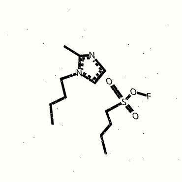 CCCCS(=O)(=O)OF.CCCCn1ccnc1C